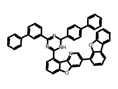 c1ccc(-c2ccc(C3N=C(c4cccc(-c5ccccc5)c4)N=C(c4cccc5oc6cc(-c7cccc8c7oc7ccccc78)cnc6c45)N3)cc2)cc1